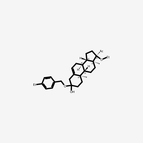 CCO[C@]1(C(C)=O)CC[C@H]2[C@@H]3CC=C4CC(O)(OCc5ccc(CC)cc5)CC[C@]4(C)[C@H]3CC[C@@]21C